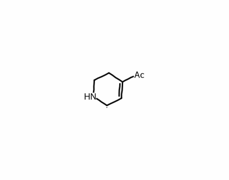 CC(=O)C1=C[CH]NCC1